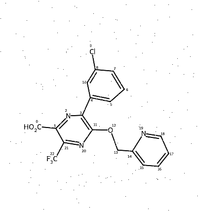 O=C(O)c1nc(-c2cccc(Cl)c2)c(OCc2ccccn2)nc1C(F)(F)F